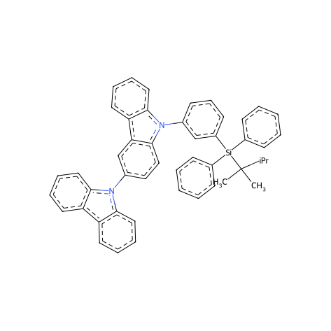 CC(C)C(C)(C)[Si](c1ccccc1)(c1ccccc1)c1cccc(-n2c3ccccc3c3cc(-n4c5ccccc5c5ccccc54)ccc32)c1